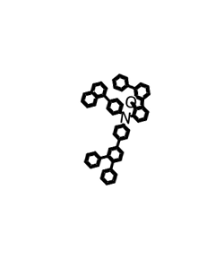 c1ccc(-c2ccc(-c3ccc(N(c4ccc(-c5cccc6ccccc56)cc4)c4cccc5c4oc4c(-c6ccccc6)cccc45)cc3)cc2-c2ccccc2)cc1